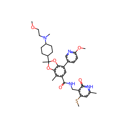 COCCN(C)C1CCC(C2(C)Oc3c(-c4ccc(OC)nc4)cc(C(=O)NCc4c(SC)cc(C)[nH]c4=O)c(C)c3O2)CC1